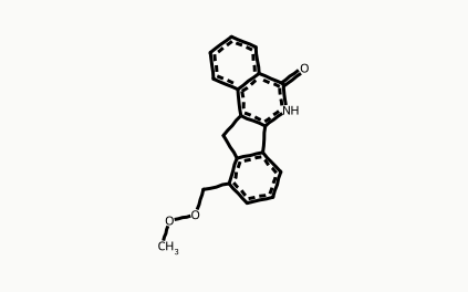 COOCc1cccc2c1Cc1c-2[nH]c(=O)c2ccccc12